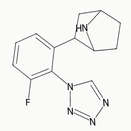 Fc1cccc(C2CC3CCC2N3)c1-n1cnnn1